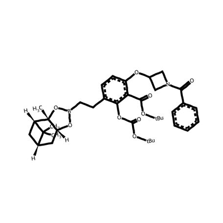 CC(C)(C)OC(=O)Oc1c(CCB2O[C@@H]3C[C@@H]4C[C@@H](C4(C)C)[C@]3(C)O2)ccc(OC2CN(C(=O)c3ccccc3)C2)c1C(=O)OC(C)(C)C